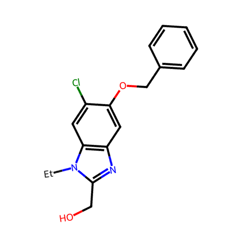 CCn1c(CO)nc2cc(OCc3ccccc3)c(Cl)cc21